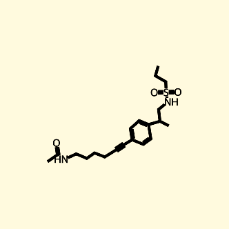 CCCS(=O)(=O)NCC(C)c1ccc(C#CCCCCNC(C)=O)cc1